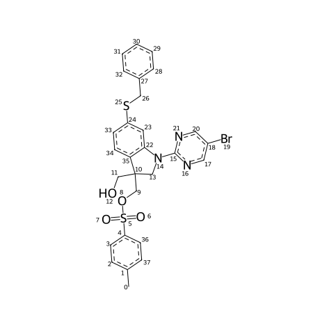 Cc1ccc(S(=O)(=O)OCC2(CO)CN(c3ncc(Br)cn3)c3cc(SCc4ccccc4)ccc32)cc1